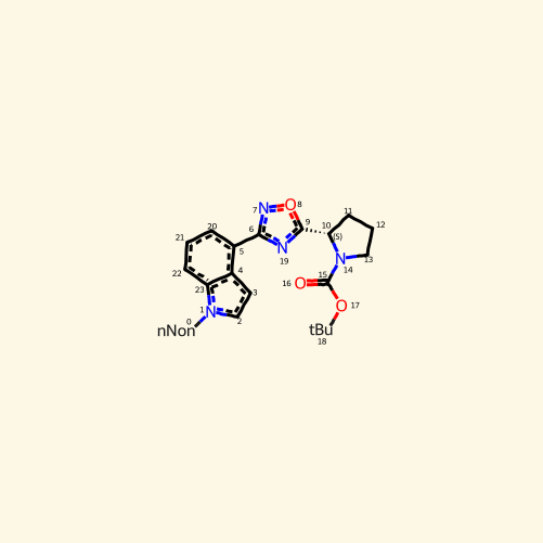 CCCCCCCCCn1ccc2c(-c3noc([C@@H]4CCCN4C(=O)OC(C)(C)C)n3)cccc21